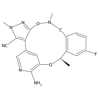 C[C@H]1Oc2cc(cnc2N)-c2c(nn(C)c2C#N)ON(C)Cc2ccc(F)cc21